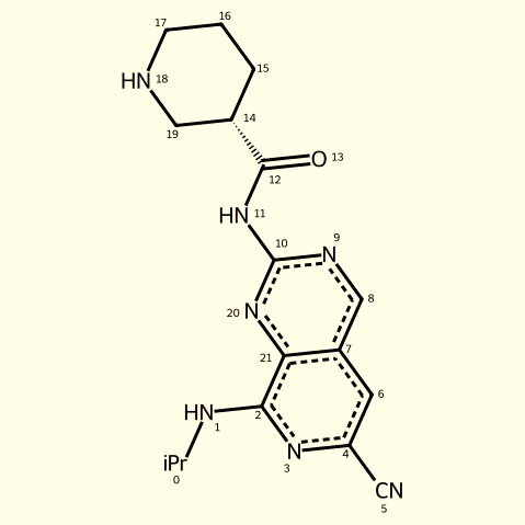 CC(C)Nc1nc(C#N)cc2cnc(NC(=O)[C@H]3CCCNC3)nc12